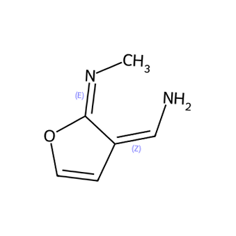 C/N=C1/OC=C/C1=C/N